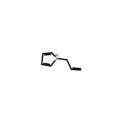 C=CC[SiH]1C=CC=C1